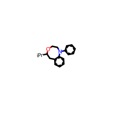 CC(C)C1Cc2ccccc2N(c2ccccc2)CCO1